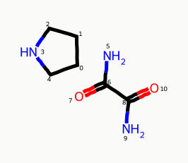 C1CCNC1.NC(=O)C(N)=O